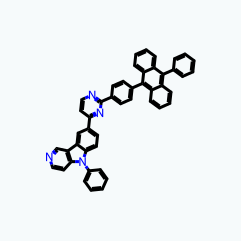 c1ccc(-c2c3ccccc3c(-c3ccc(-c4nccc(-c5ccc6c(c5)c5cnccc5n6-c5ccccc5)n4)cc3)c3ccccc23)cc1